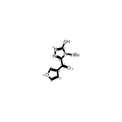 CCCCn1c(S)nnc1C(=O)c1ccoc1